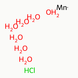 Cl.O.O.O.O.O.O.O.[Mn]